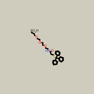 O=C(CCSC(c1ccccc1)(c1ccccc1)c1ccccc1)NCCOCCOCCOCCCS(=O)(=O)O